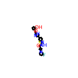 O=C(Nc1nc2ccc(-c3cnc(CO[C@H]4CCC[C@@H]4O)nc3)cc2s1)C1CC(N2CCC[C@H](F)C2)C1